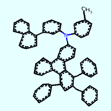 Cc1cccc(N(c2cccc(-c3cccc4ccccc34)c2)c2ccc3c(c2)c2ccccc2c2c(-c4ccccc4)cc(-c4ccccc4)c(-c4ccccc4)c32)c1